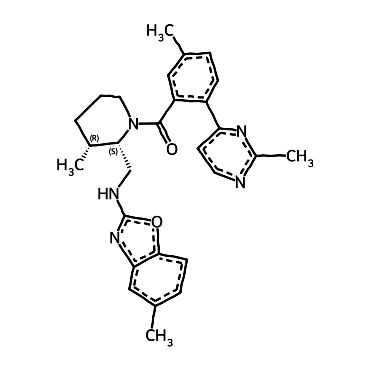 Cc1ccc(-c2ccnc(C)n2)c(C(=O)N2CCC[C@@H](C)[C@H]2CNc2nc3cc(C)ccc3o2)c1